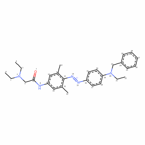 CCN(CC)CC(=O)Nc1cc(C)c(/N=N/c2ccc(N(CC)Cc3ccccc3)cc2)c(C)c1